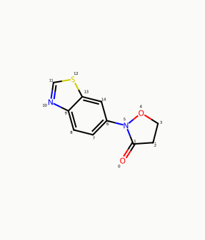 O=C1[CH]CON1c1ccc2ncsc2c1